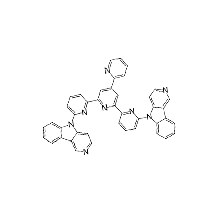 c1ccc(-c2cc(-c3cccc(-n4c5ccccc5c5cnccc54)n3)nc(-c3cccc(-n4c5ccccc5c5cnccc54)n3)c2)nc1